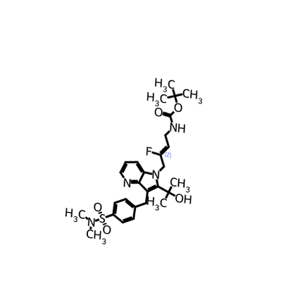 CN(C)S(=O)(=O)c1ccc(Cc2c(C(C)(C)O)n(C/C(F)=C/CNC(=O)OC(C)(C)C)c3cccnc23)cc1